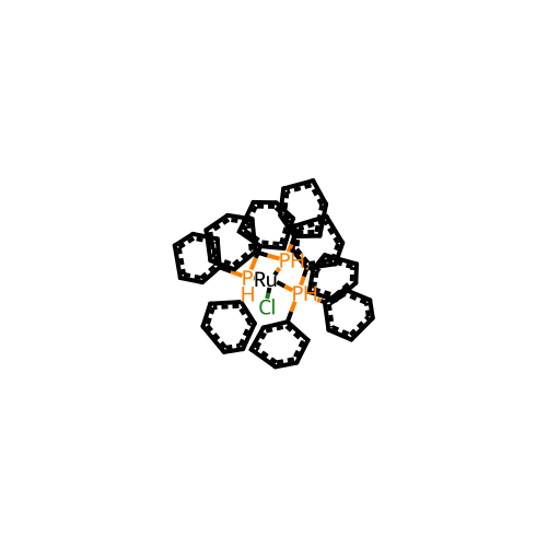 [Cl][Ru]([PH](c1ccccc1)(c1ccccc1)c1ccccc1)([PH](c1ccccc1)(c1ccccc1)c1ccccc1)[PH](c1ccccc1)(c1ccccc1)c1ccccc1